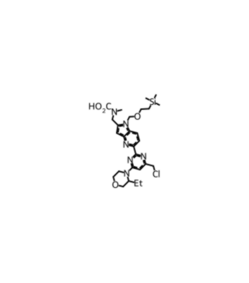 CCC1COCCN1c1cc(CCl)nc(-c2ccc3c(cc(CN(C)C(=O)O)n3COCC[Si](C)(C)C)n2)n1